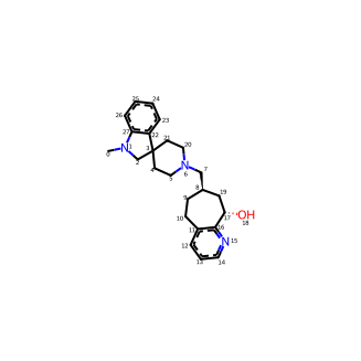 CN1CC2(CCN(C[C@@H]3CCc4cccnc4[C@@H](O)C3)CC2)c2ccccc21